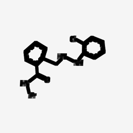 CC(C)NC(=O)c1ccccc1CNNc1ccccc1Cl